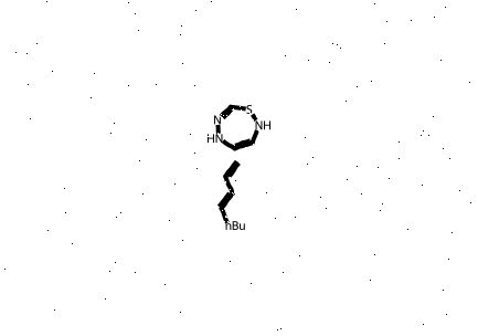 C=CC=CCCCC.c1c[nH]scn[nH]1